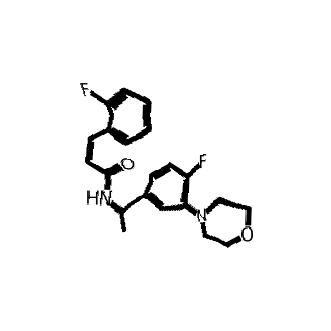 CC(NC(=O)/C=C\c1ccccc1F)c1ccc(F)c(N2CCOCC2)c1